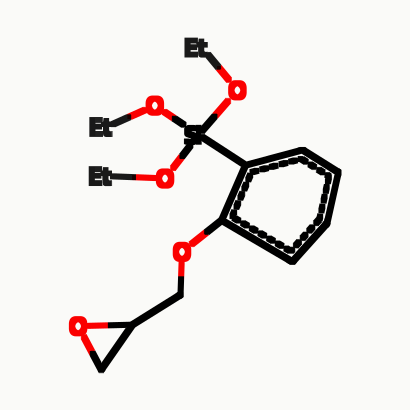 CCO[Si](OCC)(OCC)c1ccccc1OCC1CO1